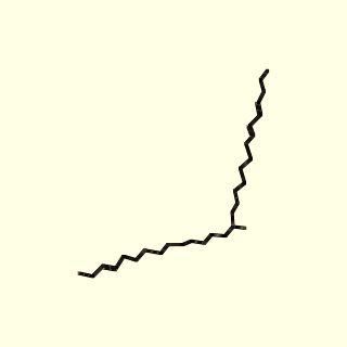 CC/C=C/CCCCCCCCCCC(C)CCCCCCC/C=C/C=C/CCC